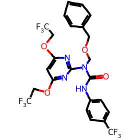 O=C(Nc1ccc(C(F)(F)F)cc1)N(COCc1ccccc1)c1nc(OCC(F)(F)F)cc(OCC(F)(F)F)n1